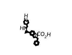 O=C(O)N1c2ccc(C3CC3NCC3CCNCC3)cc2CC1Cc1ccccc1